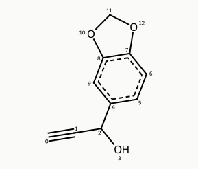 C#CC(O)c1ccc2c(c1)OCO2